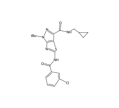 CC(C)(C)n1nc(C(=O)NCC2CC2)c2sc(NC(=O)c3cccc(Cl)c3)nc21